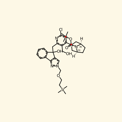 CC(C)(C)OC(=O)N1[C@@H]2CC[C@H]1CN(c1nc(Cl)nc(CC3(O)c4ccccc4-c4nn(COCC[Si](C)(C)C)cc43)c1CO)C2